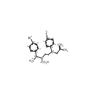 C=C(C)C[C@@H](CCN(C(=O)O)[C@@H](C)c1ccc(Br)cc1)c1ccc(F)cc1